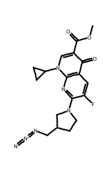 COC(=O)c1cn(C2CC2)c2nc(N3CCC(CN=[N+]=[N-])C3)c(F)cc2c1=O